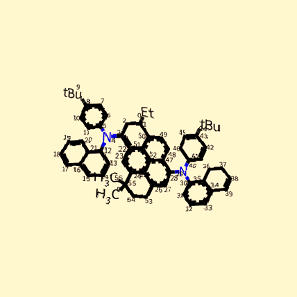 CCC1CC(N(c2ccc(C(C)(C)C)cc2)C2C=CC=C3C=CC=CC32)=c2cc3c4c(cc(N(c5cccc6c5CCC=C6)C5C=CC(C(C)(C)C)=CC5)c5ccc1c2c54)CCC3(C)C